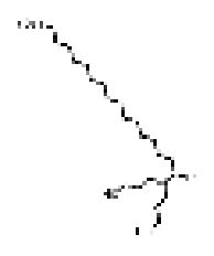 CCCCCCCCCCCCCCCCCCCCCCCCCC(CC)N(CCCO)CCCO